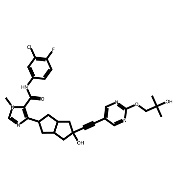 Cn1cnc(C2CC3CC(O)(C#Cc4cnc(OCC(C)(C)O)nc4)CC3C2)c1C(=O)Nc1ccc(F)c(Cl)c1